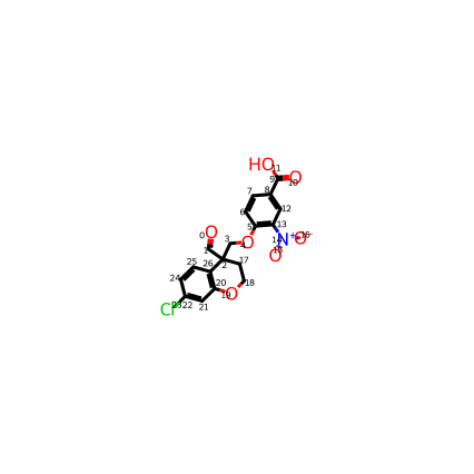 O=CC1(COc2ccc(C(=O)O)cc2[N+](=O)[O-])CCOc2cc(Cl)ccc21